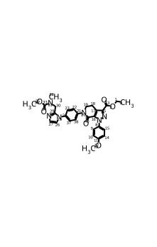 CCOC(=O)c1nn(-c2ccc(OC)cc2)c2c1CCN(c1ccc(-n3ccnc3CN(C)C(=O)OC)cc1)C2=O